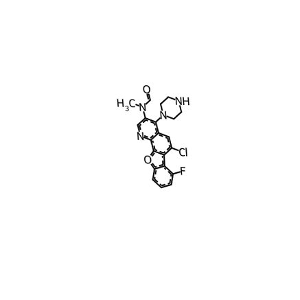 CN(C=O)c1cnc2c(cc(Cl)c3c2oc2cccc(F)c23)c1N1CCNCC1